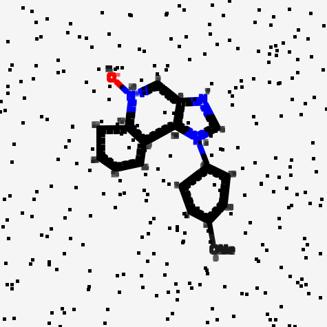 COc1ccc(-n2cnc3c[n+]([O-])c4ccccc4c32)cc1